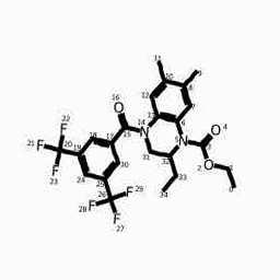 CCOC(=O)N1c2cc(C)c(C)cc2N(C(=O)c2cc(C(F)(F)F)cc(C(F)(F)F)c2)CC1CC